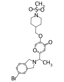 CC(c1cc(=O)c(OCC2CCN(S(C)(=O)=O)CC2)co1)N1Cc2ccc(Br)cc2C1